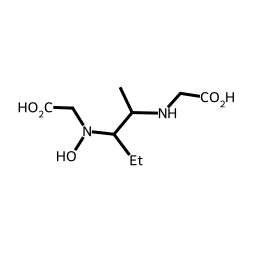 CCC(C(C)NCC(=O)O)N(O)CC(=O)O